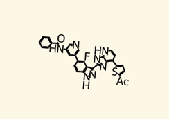 CC(=O)c1ccc(-c2ccnc3[nH]c(-c4n[nH]c5ccc(-c6cncc(NC(=O)c7ccccc7)c6)c(F)c45)nc23)s1